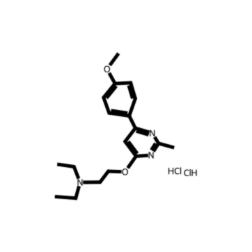 CCN(CC)CCOc1cc(-c2ccc(OC)cc2)nc(C)n1.Cl.Cl